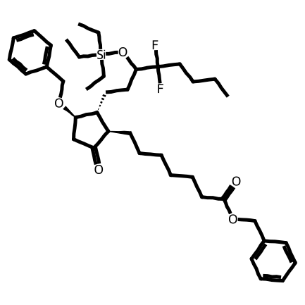 CCCCC(F)(F)C(CC[C@H]1[C@H](OCc2ccccc2)CC(=O)[C@@H]1CCCCCCC(=O)OCc1ccccc1)O[Si](CC)(CC)CC